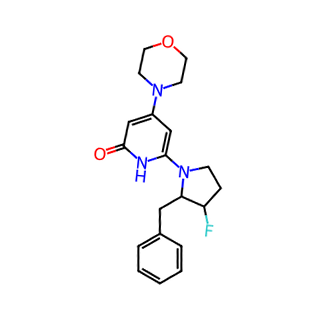 O=c1cc(N2CCOCC2)cc(N2CCC(F)C2Cc2ccccc2)[nH]1